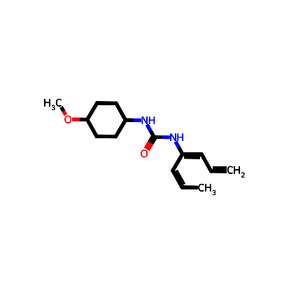 C=C/C=C(\C=C/C)NC(=O)NC1CCC(OC)CC1